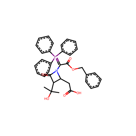 CC(C)(O)C1C(=O)N(C(C(=O)OCc2ccccc2)=P(c2ccccc2)(c2ccccc2)c2ccccc2)C1CC(=O)O